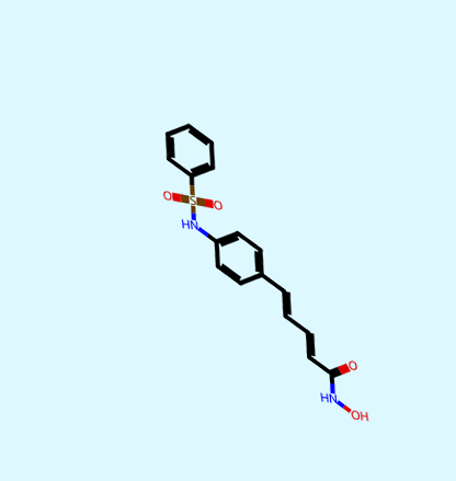 O=C(C=CC=Cc1ccc(NS(=O)(=O)c2ccccc2)cc1)NO